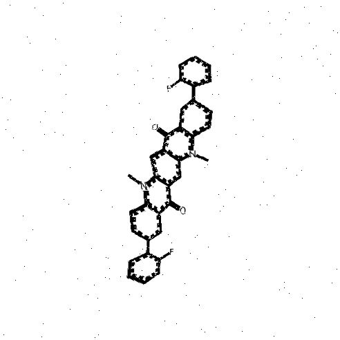 Cn1c2ccc(-c3ccccc3F)cc2c(=O)c2cc3c(cc21)c(=O)c1cc(-c2ccccc2F)ccc1n3C